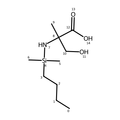 CCCC[Si](C)(C)NC(C)(CO)C(=O)O